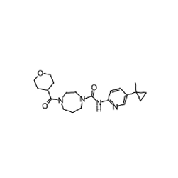 CC1(c2ccc(NC(=O)N3CCCN(C(=O)C4CCOCC4)CC3)nc2)CC1